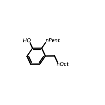 CCCCCCCCCc1cccc(O)c1CCCCC